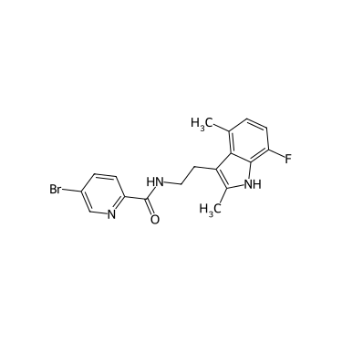 Cc1[nH]c2c(F)ccc(C)c2c1CCNC(=O)c1ccc(Br)cn1